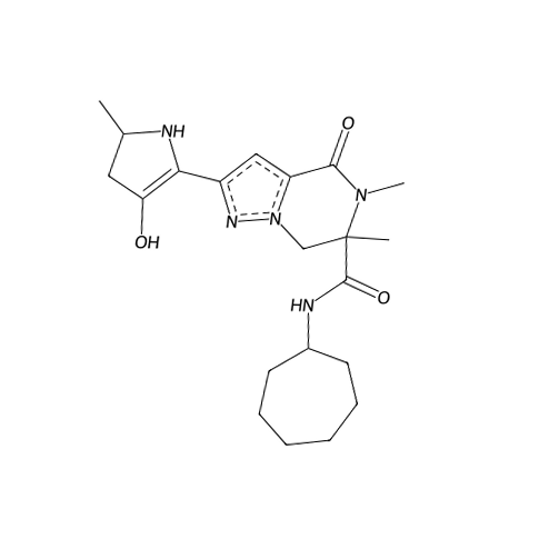 CC1CC(O)=C(c2cc3n(n2)CC(C)(C(=O)NC2CCCCCC2)N(C)C3=O)N1